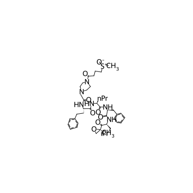 CCC[C@H](NC(=O)[C@H](CCc1ccccc1)NC(=O)CN1CCN(C(=O)CCC[S+](C)[O-])CC1)C(=O)N[C@@H](Cc1ccccc1)C(=O)N[C@@H](CC(C)C)C(=O)[C@@]1(C)CO1